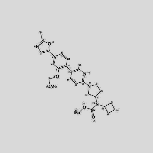 COCOc1cc(-c2cnc(C)o2)ccc1-c1ccc(N2CCC(N(C(=O)OC(C)(C)C)C3CCC3)C2)nn1